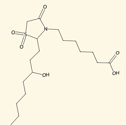 CCCCCC(O)CCC1N(CCCCCCC(=O)O)C(=O)CS1(=O)=O